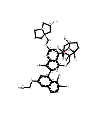 CCc1c(F)ccc2cc(OCOC)cc(-c3nc4c5c(nc(OC[C@@]67CCCN6C[C@H](F)C7)nc5c3F)N3C[C@@H]5CC[C@H]([C@@H]3CO4)N5C(=O)OC(C)(C)C)c12